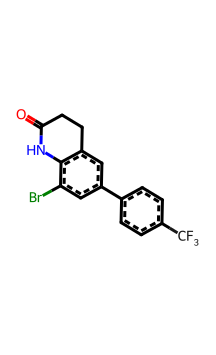 O=C1CCc2cc(-c3ccc(C(F)(F)F)cc3)cc(Br)c2N1